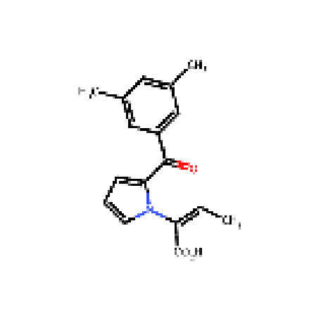 CC=C(C(=O)O)n1cccc1C(=O)c1cc(C)cc(C)c1